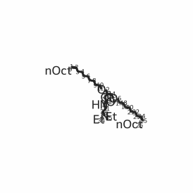 CCCCCCCC/C=C\CCCCCCCCOCC(COCCCCCCCC/C=C\CCCCCCCC)OC(=O)NCCN(CC)CC